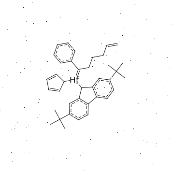 C=CCCC[C](c1ccccc1)=[Hf]([CH]1C=CC=C1)[CH]1c2cc(C(C)(C)C)ccc2-c2ccc(C(C)(C)C)cc21